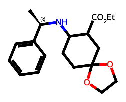 CCOC(=O)C1CC2(CCC1N[C@H](C)c1ccccc1)OCCO2